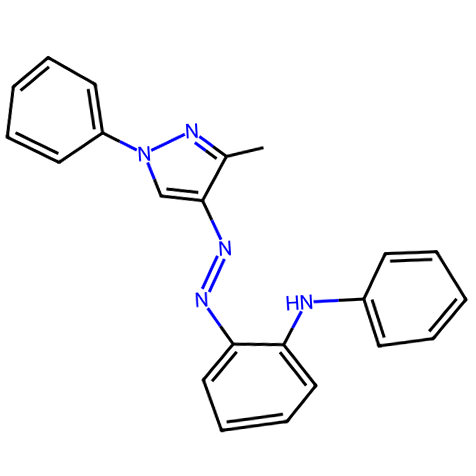 Cc1nn(-c2ccccc2)cc1N=Nc1ccccc1Nc1ccccc1